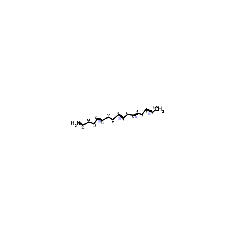 C/C=C/C/C=C/C/C=C/CC/C=C/CCCN